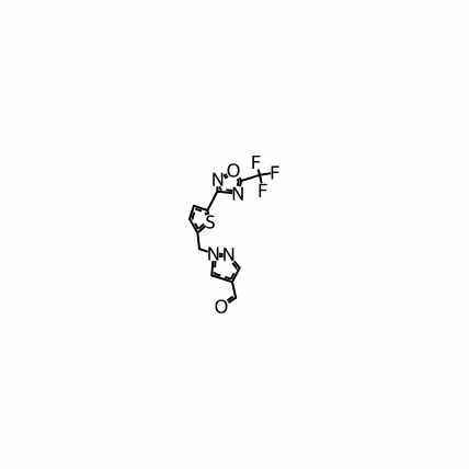 O=Cc1cnn(Cc2ccc(-c3noc(C(F)(F)F)n3)s2)c1